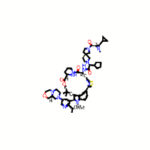 CCn1c(-c2cc(N3CCN4CCOC[C@@H]4C3)cnc2[C@H](C)OC)c2c3cc(ccc31)-c1csc(n1)C[C@H](NC(=O)C(C1CCCC1)N1CC[C@]3(CCN(C(=O)[C@H]4C(C5CC5)N4C)C3)C1)C(=O)N1CCC[C@H](N1)C(=O)OCC(C)(C)C2